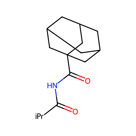 CC(C)C(=O)NC(=O)C12CC3CC(CC(C3)C1)C2